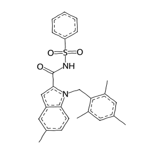 Cc1cc(C)c(Cn2c(C(=O)NS(=O)(=O)c3ccccc3)cc3cc(C)ccc32)c(C)c1